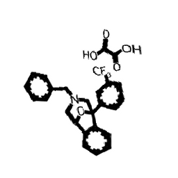 FC(F)(F)c1cccc(C23CN(Cc4ccccc4)CC(O2)c2ccccc23)c1.O=C(O)C(=O)O